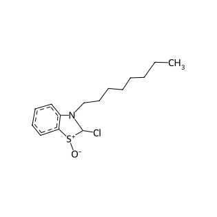 CCCCCCCCN1c2ccccc2[S+]([O-])C1Cl